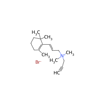 C#CC[N+](C)(C)C/C=C/C1=C(C)CCCC1(C)C.[Br-]